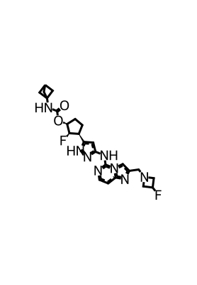 O=C(NC12CC(C1)C2)O[C@H]1CC[C@@H](c2cc(Nc3nccc4nc(CN5CC(F)C5)cn34)n[nH]2)[C@H]1F